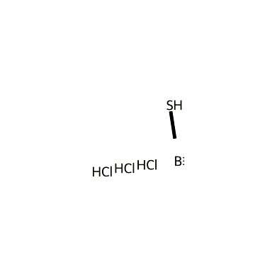 CS.Cl.Cl.Cl.[B]